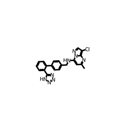 Cc1cc(NCc2ccc(-c3ccccc3-c3nnn[nH]3)cc2)n2ncc(Cl)c2n1